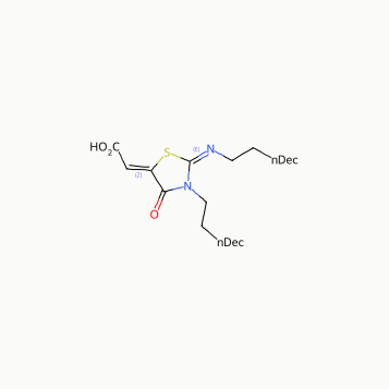 CCCCCCCCCCCC/N=C1/S/C(=C\C(=O)O)C(=O)N1CCCCCCCCCCCC